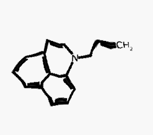 C=CCN1C=Cc2cccc3cccc1c23